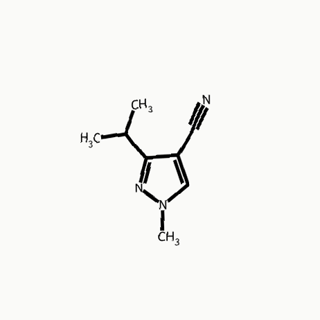 CC(C)c1nn(C)cc1C#N